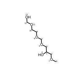 COCC(O)COCOCCOCO